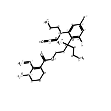 C=NC1=C(C(=O)NCCC(C)(CCN)c2c(F)cc(F)cc2N(C=C=O)CCO)CCCN1C